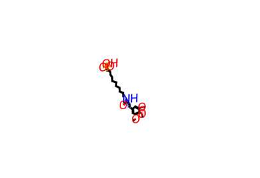 COc1cc(/C=C/C(=O)NCCCCCCCCCCCS(=O)(=O)O)cc(OC)c1OC